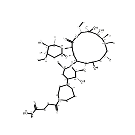 CC[C@H]1OC(=O)[C@H](C)[C@@H](O[C@H]2C[C@@](C)(OC)[C@@H](O)[C@H](C)O2)[C@H](C)[C@@H](O[C@@H]2O[C@H](C)CC(N3CCCN(C(=O)CCC(=O)NO)CC3)[C@H]2O)[C@H](O)C[C@@H](C)CN(C)[C@H](C)[C@@H](O)[C@]1(C)O